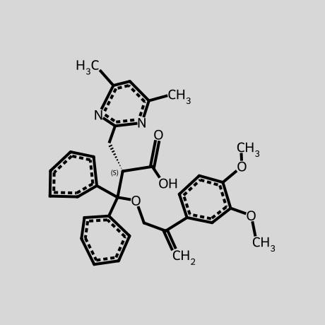 C=C(COC(c1ccccc1)(c1ccccc1)[C@H](Cc1nc(C)cc(C)n1)C(=O)O)c1ccc(OC)c(OC)c1